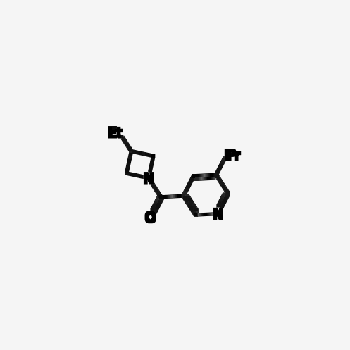 CCC1CN(C(=O)c2cncc(C(C)C)c2)C1